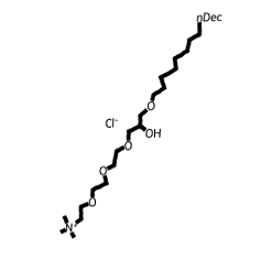 CCCCCCCCCCCCCCCCCCOCC(O)COCCOCCOCC[N+](C)(C)C.[Cl-]